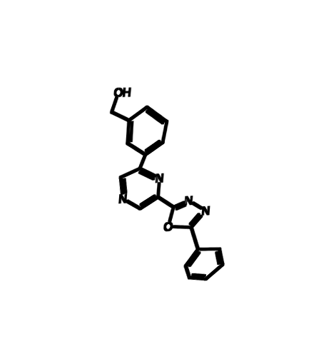 OCc1cccc(-c2cncc(-c3nnc(-c4ccccc4)o3)n2)c1